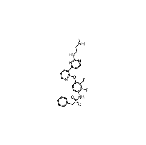 CNCCNc1nccc(-c2cccnc2Oc2ccc(NS(=O)(=O)Cc3ccccc3)c(F)c2F)n1